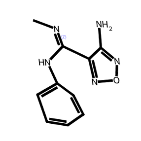 C/N=C(\Nc1ccccc1)c1nonc1N